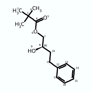 CC(C)(C)C(=O)OC[C@H](O)CCc1ccccc1